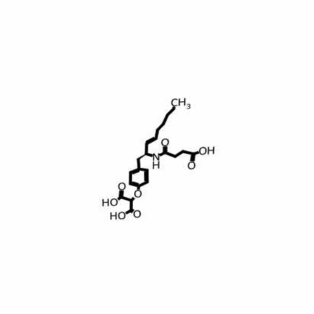 CCCCC/C=C/[C@H](Cc1ccc(OC(C(=O)O)C(=O)O)cc1)NC(=O)CCC(=O)O